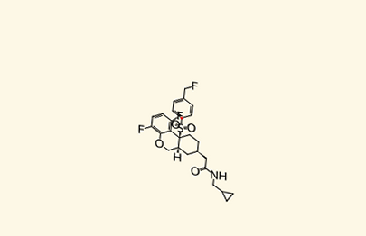 O=C(C[C@@H]1CC[C@@]2(S(=O)(=O)c3ccc(CF)cc3)c3c(F)ccc(F)c3OC[C@H]2C1)NCC1CC1